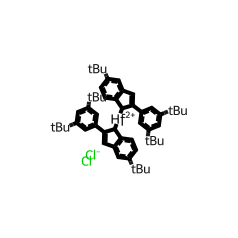 CC(C)(C)c1cc(C2=Cc3cc(C(C)(C)C)ccc3[CH]2[Hf+2][CH]2C(c3cc(C(C)(C)C)cc(C(C)(C)C)c3)=Cc3cc(C(C)(C)C)ccc32)cc(C(C)(C)C)c1.[Cl-].[Cl-]